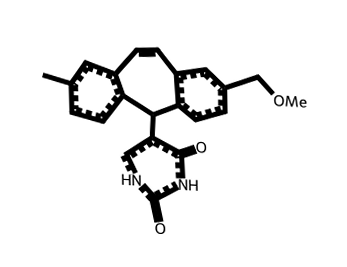 COCc1ccc2c(c1)C=Cc1cc(C)ccc1C2c1c[nH]c(=O)[nH]c1=O